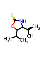 C=C(C)C1NC(=S)OC1C(C)C